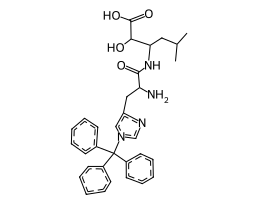 CC(C)CC(NC(=O)C(N)Cc1cn(C(c2ccccc2)(c2ccccc2)c2ccccc2)cn1)C(O)C(=O)O